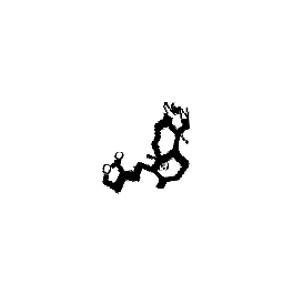 C=C1CCC2[C@@](C)(CCC3=NN=C[C@]32C)C1CCC1=CCOC1=O